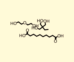 CCC(CO)(CO)CO.O=C(O)CCCCCCCCC(=O)O.OCCOCCO